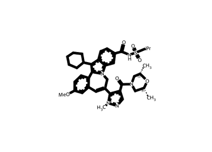 COc1ccc2c(c1)C=C(c1c(C(=O)N3C[C@@H](C)O[C@@H](C)C3)cnn1C)Cn1c-2c(C2CCCCC2)c2ccc(C(=O)NS(=O)(=O)C(C)C)cc21